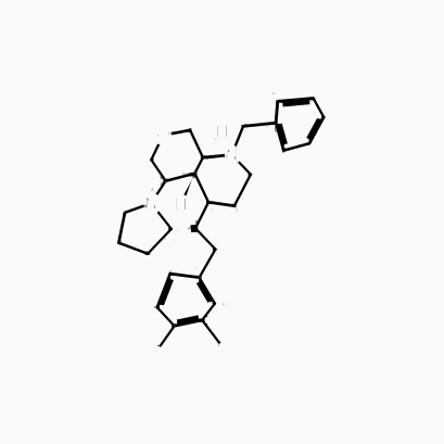 Cc1ccc(CC(=O)C2CCN(Cc3ccccc3)[C@@H]3COCC(N4CCCC4)[C@@H]23)cc1C